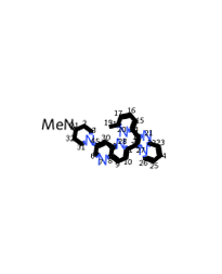 CNC1CCN(c2cnc3ccc(-c4c(-c5cccc(C)n5)nc5ccccn45)nc3c2)CC1